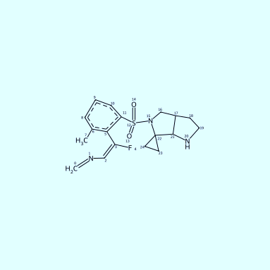 C=N/C=C(/F)c1c(C)cccc1S(=O)(=O)N1CC2CCNC2C12CC2